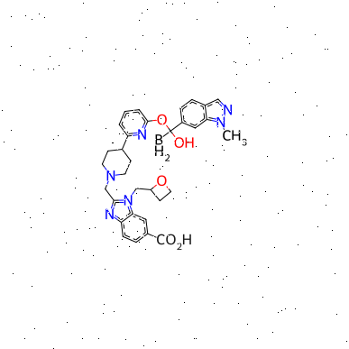 BC(O)(Oc1cccc(C2CCN(Cc3nc4ccc(C(=O)O)cc4n3CC3CCO3)CC2)n1)c1ccc2cnn(C)c2c1